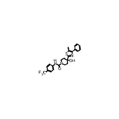 Cc1sc(C2(O)CCN(C(=O)Nc3ccc(C(F)(F)F)cc3)CC2)nc1-c1ccccc1